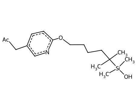 CC(=O)Cc1ccc(OCCCCC(C)(C)[Si](C)(C)O)nc1